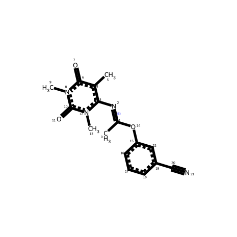 C/C(=N\c1c(C)c(=O)n(C)c(=O)n1C)Oc1cccc(C#N)c1